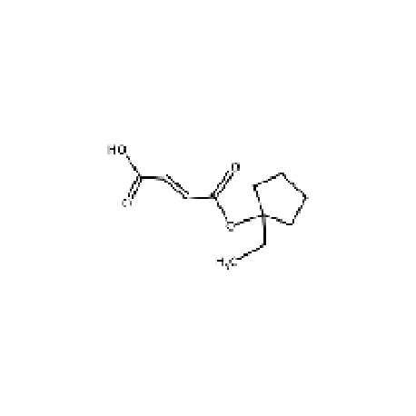 CCC1(OC(=O)C=CC(=O)O)CCCC1